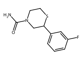 NC(=O)N1CCSC(c2cccc(F)c2)C1